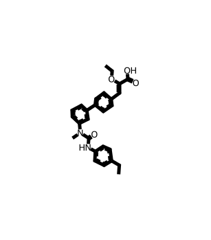 CCO/C(=C\c1ccc(-c2cccc(N(C)C(=O)Nc3ccc(CC)cc3)c2)cc1)C(=O)O